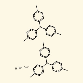 Cc1ccc(P(c2ccc(C)cc2)c2ccc(C)cc2)cc1.Cc1ccc(P(c2ccc(C)cc2)c2ccc(C)cc2)cc1.[Br-].[Br-].[Co+2]